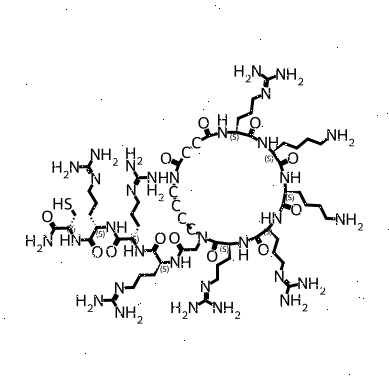 NCCCC[C@@H]1NC(=O)[C@H](CCCN=C(N)N)NC(=O)CCC(=O)NCCCCN(CC(=O)N[C@@H](CCCN=C(N)N)C(=O)N[C@@H](CCCN=C(N)N)C(=O)N[C@@H](CCCN=C(N)N)C(=O)N[C@@H](CS)C(N)=O)C(=O)[C@H](CCCN=C(N)N)NC(=O)[C@H](CCCN=C(N)N)NC(=O)[C@H](CCCCN)NC1=O